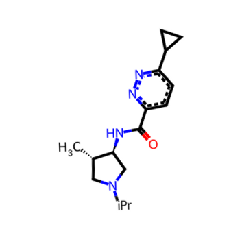 CC(C)N1C[C@H](NC(=O)c2ccc(C3CC3)nn2)[C@@H](C)C1